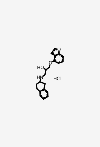 Cl.OC(CNC1CCc2ccccc2C1)COc1cccc2occc12